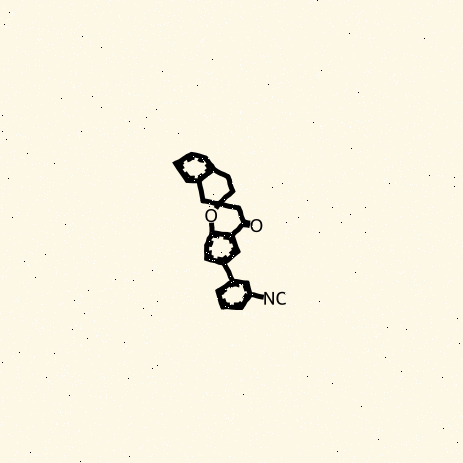 [C-]#[N+]c1cccc(-c2ccc3c(c2)C(=O)CC2(CCc4ccccc4C2)O3)c1